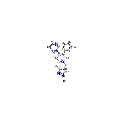 Cc1ccc(-c2nccnc2N2CCN(Cc3cn(C)nc3C)CC2)cc1